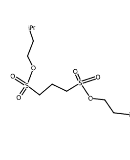 CC(C)CCOS(=O)(=O)CCCS(=O)(=O)OCCC(C)C